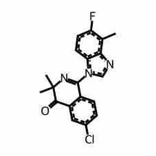 Cc1c(F)ccc2c1ncn2C1=NC(C)(C)C(=O)c2cc(Cl)ccc21